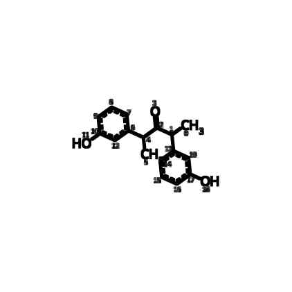 CC(C(=O)C(C)c1cccc(O)c1)c1cccc(O)c1